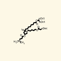 [2H][C@]1(CCCCCCCC(=O)OC(CCCCCCCC)CCCCCCCC)CC(OC(=O)CCN(C)C)CN1CCCCCOC(=O)CCCCCCCCCCC